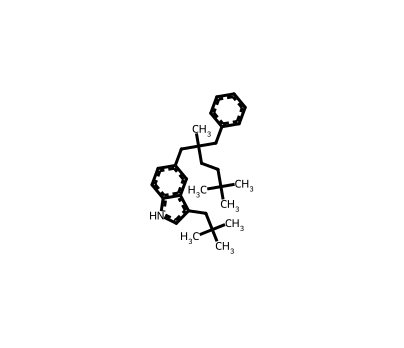 CC(C)(C)CCC(C)(Cc1ccccc1)Cc1ccc2[nH]cc(CC(C)(C)C)c2c1